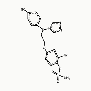 N#Cc1ccc(N(CCOc2ccc(OS(N)(=O)=O)c(Br)c2)n2cnnc2)cc1